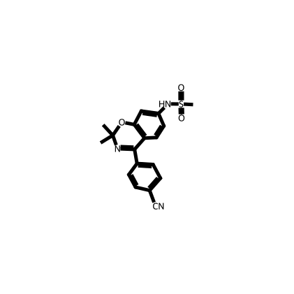 CC1(C)N=C(c2ccc(C#N)cc2)c2ccc(NS(C)(=O)=O)cc2O1